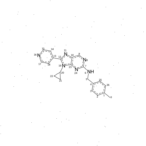 Cc1ccc(CNc2ncc3nc(-c4ccncc4)n(C4CC4)c3n2)cc1